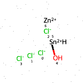 [Cl-].[Cl-].[Cl-].[Cl-].[OH][SnH+2].[Zn+2]